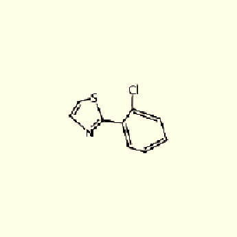 Clc1ccccc1-c1nccs1